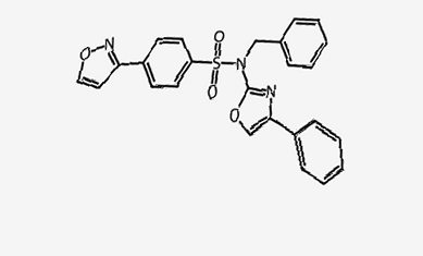 O=S(=O)(c1ccc(-c2ccon2)cc1)N(Cc1ccccc1)c1nc(-c2ccccc2)co1